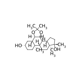 CC1(C)O[C@H]2[C@H](O1)[C@H]1C[C@@H](O)CC[C@]1(C)[C@H]1CC[C@@]3(C)[C@@H](CC[C@]3(C)O)[C@H]21